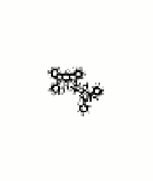 C1=C(C2=NC(c3ccccc3)NC(c3ccccc3)N2)NC(n2c3ccccc3c3cc4c5ccccc5n(-c5ccccc5)c4cc32)N1